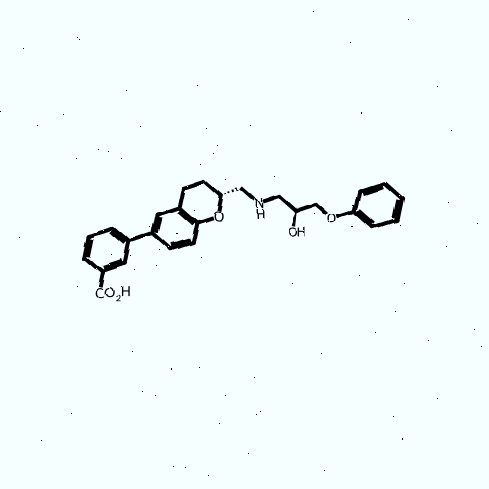 O=C(O)c1cccc(-c2ccc3c(c2)CC[C@H](CNC[C@H](O)COc2ccccc2)O3)c1